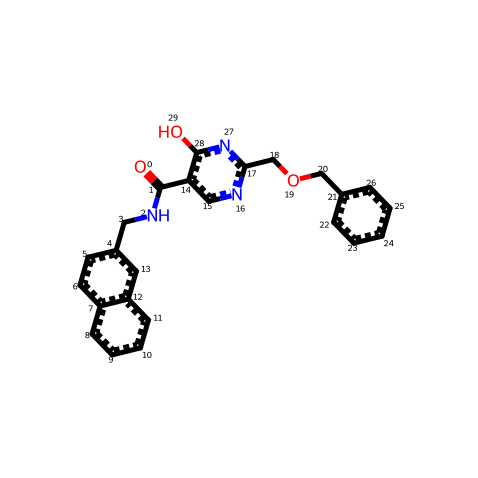 O=C(NCc1ccc2ccccc2c1)c1cnc(COCc2ccccc2)nc1O